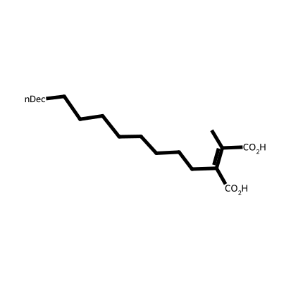 CCCCCCCCCCCCCCCCCCC(C(=O)O)=C(C)C(=O)O